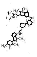 C=C(CCC1=Cc2cc(Nc3nc(N4CCC[C@@H](CCNc5cccc6c(C7CCC(=C)NC7=C)nn(C)c56)C4)ncc3Cl)ccc2N(C)C1=C)NC